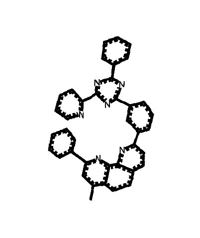 Cc1cc(-c2ccccc2)nc2c1ccc1ccc(-c3cccc(-c4nc(-c5ccccc5)nc(-c5ccccn5)n4)c3)nc12